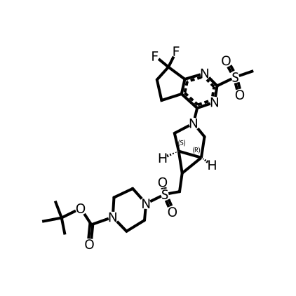 CC(C)(C)OC(=O)N1CCN(S(=O)(=O)CC2[C@H]3CN(c4nc(S(C)(=O)=O)nc5c4CCC5(F)F)C[C@@H]23)CC1